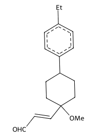 CCc1ccc(C2CCC(C=CC=O)(OC)CC2)cc1